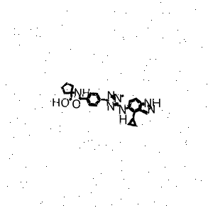 Cn1nc(-c2ccc(C(=O)NC3(CO)CCCC3)cc2)nc1Nc1ccc2[nH]ncc2c1C1CC1